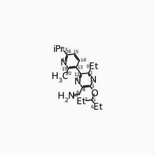 CCc1nc(OC(CC)CC)c(CN)nc1-c1ccc(C(C)C)nc1C